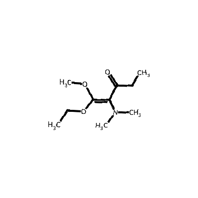 CCO/C(OC)=C(/C(=O)CC)N(C)C